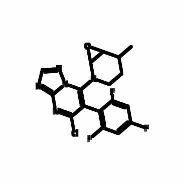 CC1CCN(c2c(-c3c(F)cc(F)cc3F)c(Cl)nc3ncnn23)C2OC12